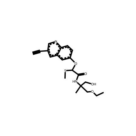 C#Cc1cnc2ccc(OC(SC)C(=O)NC(C)(CO)COCC)cc2c1